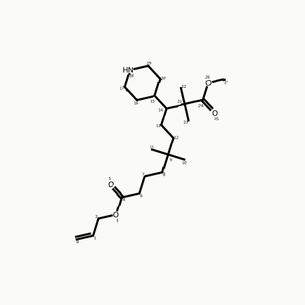 C=CCOC(=O)CCCC(C)(C)CCC(C1CCNCC1)C(C)(C)C(=O)OC